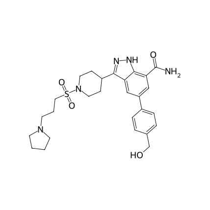 NC(=O)c1cc(-c2ccc(CO)cc2)cc2c(C3CCN(S(=O)(=O)CCCN4CCCC4)CC3)n[nH]c12